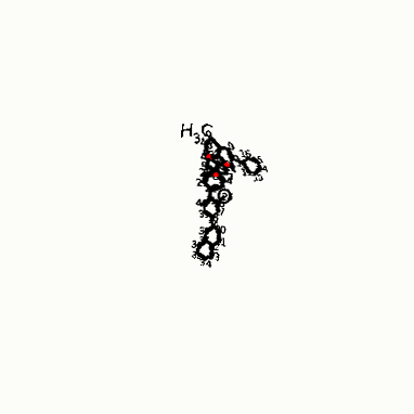 C\C1=C(C2=CC=CCC2)/C=C(c2ccccc2)\N=C(\c2ccc3c(c2)oc2cc(-c4ccc5ccccc5c4)ccc23)CC1